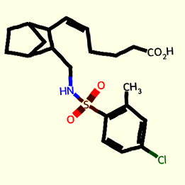 Cc1cc(Cl)ccc1S(=O)(=O)NCC1C2CCC(C2)C1/C=C\CCCC(=O)O